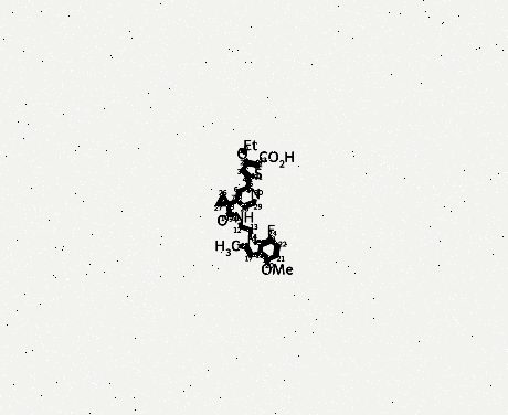 CCOc1cc(-c2cc(C3(C(=O)NCCn4c(C)cc5c(OC)ccc(F)c54)CC3)ccn2)sc1C(=O)O